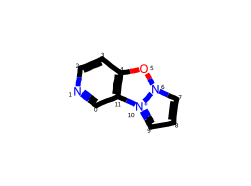 [c]1nccc2on3ccc[n+]3c12